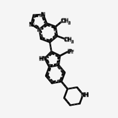 Cc1c(-c2[nH]c3ccc(C4CCCNC4)cc3c2C(C)C)cn2ncnc2c1C